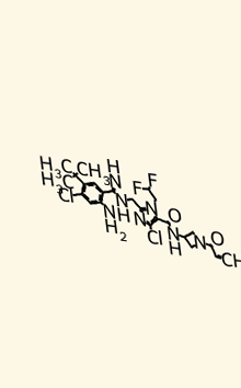 C=CC(=O)N1CC(NC(=O)c2c(Cl)nc(CNC(=N)c3cc(C(C)(C)C)c(Cl)cc3N)n2CC(F)F)C1